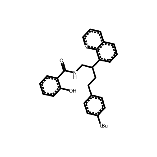 CC(C)(C)c1ccc(CCC(CNC(=O)c2ccccc2O)c2cccc3cccnc23)cc1